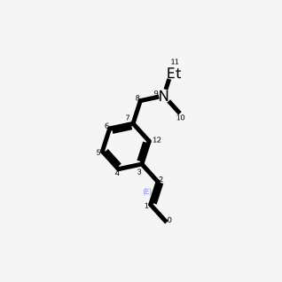 C/C=C/c1cccc(CN(C)CC)c1